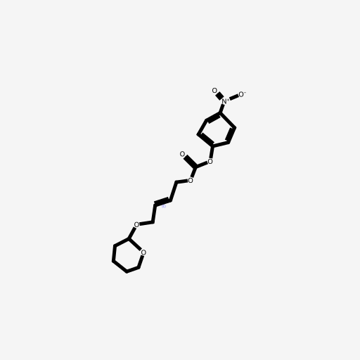 O=C(OC/C=C/COC1CCCCO1)Oc1ccc([N+](=O)[O-])cc1